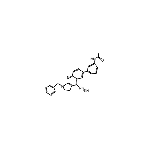 CC(=O)Nc1cccc(-c2ccc3nc4c(c(N)c3c2)CCN4Cc2ccccc2)c1.Cl